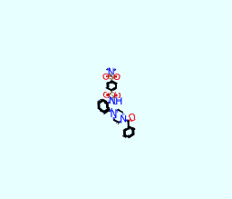 CN(C)S(=O)(=O)c1ccc(S(=O)(=O)Nc2ccccc2N2CCN(C(=O)c3ccccc3)CC2)cc1